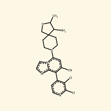 CC1OCC2(CCN(c3cc(C#N)c(-c4ccnc(Cl)c4Cl)c4nccn34)CC2)C1N